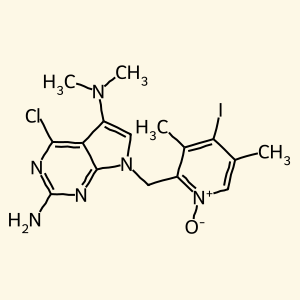 Cc1c[n+]([O-])c(Cn2cc(N(C)C)c3c(Cl)nc(N)nc32)c(C)c1I